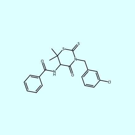 CC1(C)SC(=S)N(Cc2cccc(Cl)c2)C(=O)C1NC(=O)c1ccccc1